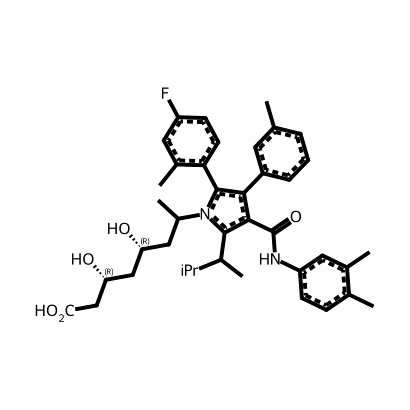 Cc1cccc(-c2c(C(=O)Nc3ccc(C)c(C)c3)c(C(C)C(C)C)n(C(C)C[C@@H](O)C[C@@H](O)CC(=O)O)c2-c2ccc(F)cc2C)c1